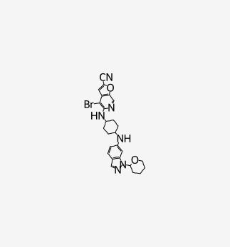 N#Cc1cc2c(Br)c(NC3CCC(Nc4ccc5cnn(C6CCCCO6)c5c4)CC3)ncc2o1